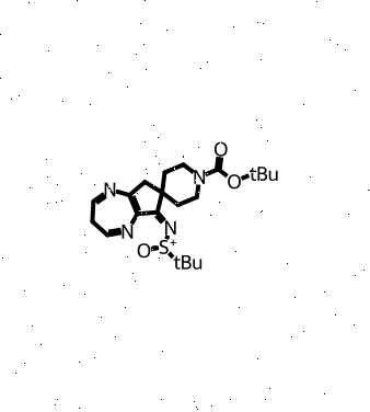 CC(C)(C)OC(=O)N1CCC2(CC1)CC1=C(N=CCC=N1)/C2=N\[S+]([O-])C(C)(C)C